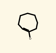 [O]/C1=C/CCCCCC1